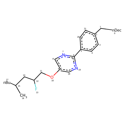 CCCCCCCCCCCc1ccc(-c2ncc(OCC(F)CC(C)CCCC)cn2)cc1